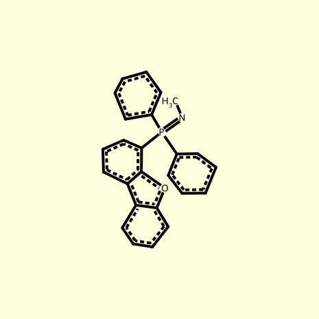 CN=P(c1ccccc1)(c1ccccc1)c1cccc2c1oc1ccccc12